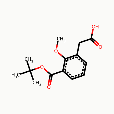 COc1c(CC(=O)O)cccc1C(=O)OC(C)(C)C